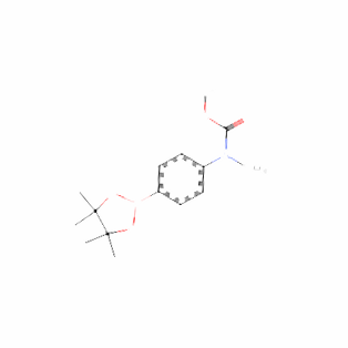 CON(C(=O)OC(C)C)c1ccc(B2OC(C)(C)C(C)(C)O2)cc1